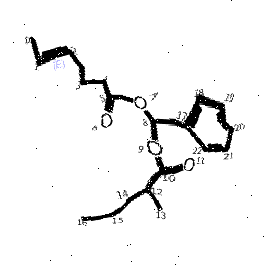 C/C=C/CCC(=O)OC(OC(=O)C(C)CCC)c1ccccc1